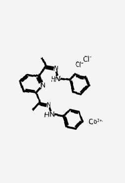 CC(=NNc1ccccc1)c1cccc(C(C)=NNc2ccccc2)n1.[Cl-].[Cl-].[Co+2]